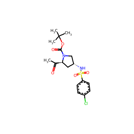 CC(=O)[C@@H]1C[C@@H](NS(=O)(=O)c2ccc(Cl)cc2)CN1C(=O)OC(C)(C)C